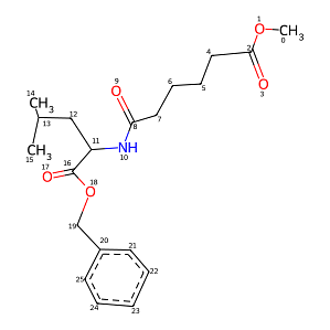 COC(=O)CCCCC(=O)NC(CC(C)C)C(=O)OCc1ccccc1